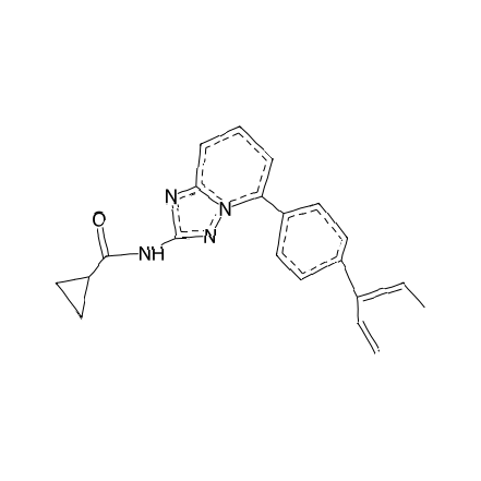 C=C/C(=C\C)c1ccc(-c2cccc3nc(NC(=O)C4CC4)nn23)cc1